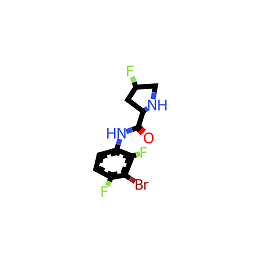 O=C(Nc1ccc(F)c(Br)c1F)C1CC(F)CN1